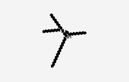 CCCCCCCCCCCCCCCCCCCCCCNC1CN(CCN(CCCCCCCCCCCC)CCCCCCCCCCCC)CCN1CCCCCCCCCCCC